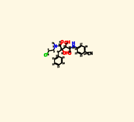 CN(CCCl)C(=O)[C@@](O)(Cc1ccccc1)[C@@H](O)C(=O)Nc1ccc(C#N)cc1